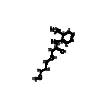 Nc1ccccc1NC(=O)CSCCCOI